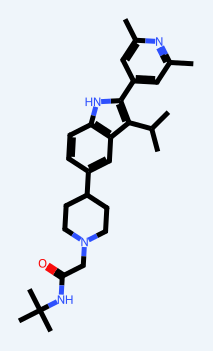 Cc1cc(-c2[nH]c3ccc(C4CCN(CC(=O)NC(C)(C)C)CC4)cc3c2C(C)C)cc(C)n1